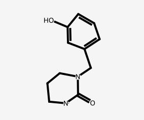 O=C1[N]CCCN1Cc1cccc(O)c1